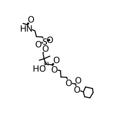 CC(=O)NCCCS(=O)(=O)OCC(C)(C)[C@@H](O)C(=O)OCCCOC(=O)OC1CCCCC1